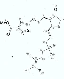 COC(=O)c1csc(SCC[C@H]2C(=O)CC[C@H]2C=CCC(C)(O)CCC(F)=C(F)F)n1